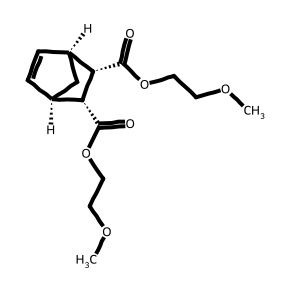 COCCOC(=O)[C@@H]1[C@H](C(=O)OCCOC)[C@H]2C=C[C@@H]1C2